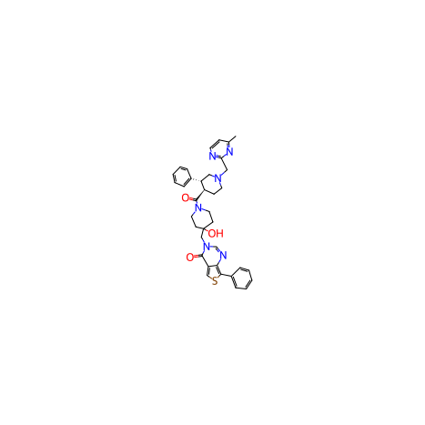 Cc1ccnc(CN2CC[C@@H](C(=O)N3CCC(O)(Cn4cnc5c(-c6ccccc6)scc5c4=O)CC3)[C@H](c3ccccc3)C2)n1